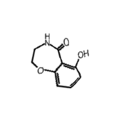 O=C1NCCOc2cccc(O)c21